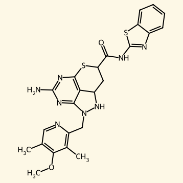 COc1c(C)cnc(CN2NC3CC(C(=O)Nc4nc5ccccc5s4)Sc4nc(N)nc2c43)c1C